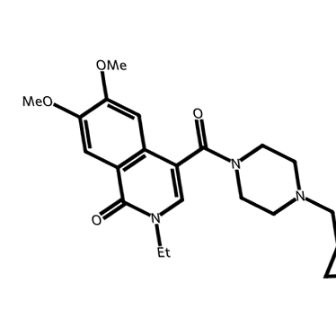 CCn1cc(C(=O)N2CCN(CC3CC3)CC2)c2cc(OC)c(OC)cc2c1=O